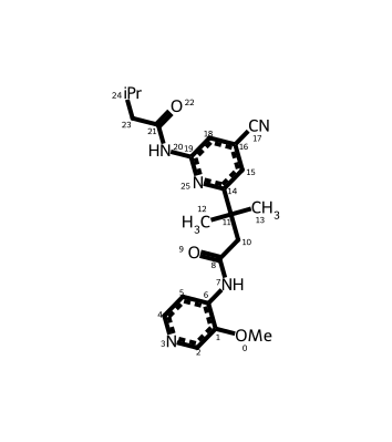 COc1cnccc1NC(=O)CC(C)(C)c1cc(C#N)cc(NC(=O)CC(C)C)n1